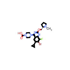 CN1CCC[C@H]1COc1nc(N2CCN(C(=O)O)CC2)c2cc(C3CC3)c(Br)c(F)c2n1